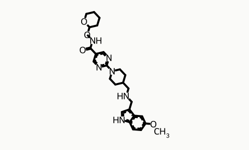 COc1ccc2[nH]cc(CNCC3CCN(c4ncc(C(=O)NOC5CCCCO5)cn4)CC3)c2c1